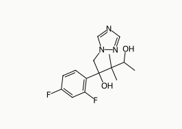 CC(O)C(C)(C)C(O)(Cn1cncn1)c1ccc(F)cc1F